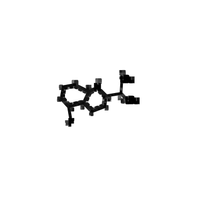 CC(C)(C)C(c1ccc2c(F)cccc2n1)C(C)(C)C